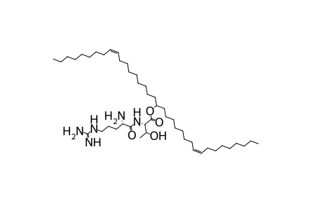 CCCCCCCC/C=C\CCCCCCCCC(CCCCCCC/C=C\CCCCCCCC)OC(=O)[C@@H](NC(=O)[C@@H](N)CCCNC(=N)N)C(C)O